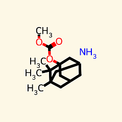 COC(=O)OC12CC3CC(CC(C)(C3)C1(C)C)C2.N